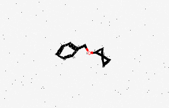 c1ccc(COC2CC23CC3)cc1